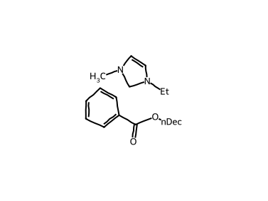 CCCCCCCCCCOC(=O)c1ccccc1.CCN1C=CN(C)C1